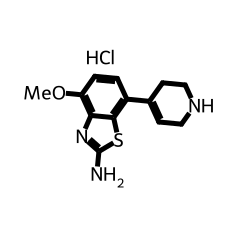 COc1ccc(C2=CCNCC2)c2sc(N)nc12.Cl